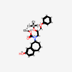 CC[Si](CC)(CC)O[C@H](COc1ccccc1)CN(C(=O)OC(C)(C)C)C1CCCc2ccc(O)cc2C1